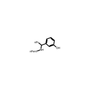 CCCCCNC(CCC)c1cccc(O)c1